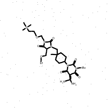 CCCCN1C(=O)C(=C(N)N)C(=O)N(C2CCC(C)(CN3C(=O)N(COCC[Si](C)(C)C)C(=O)C3COCC)CC2)C1=O